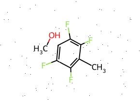 CO.Cc1c(F)c(F)cc(F)c1F